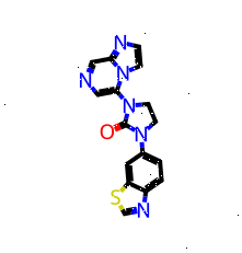 O=C1N(c2ccc3ncsc3c2)CCN1c1cncc2nccn12